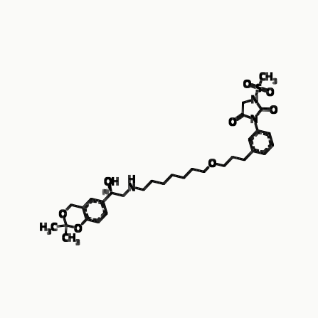 CC1(C)OCc2cc([C@@H](O)CNCCCCCCCOCCCc3cccc(N4C(=O)CN(S(C)(=O)=O)C4=O)c3)ccc2O1